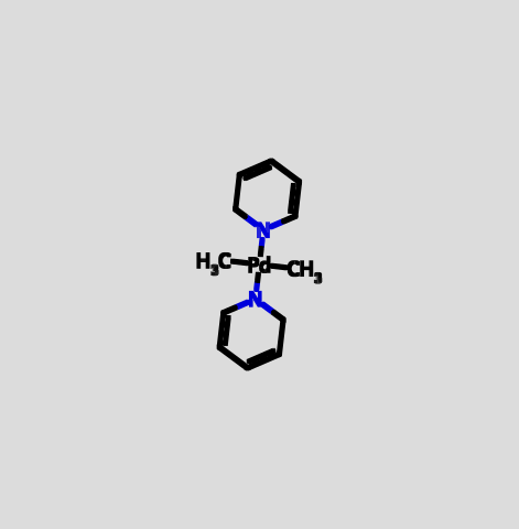 [CH3][Pd]([CH3])([N]1C=CC=CC1)[N]1C=CC=CC1